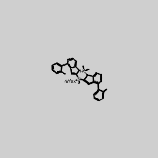 CCCCCC[Si]1(C)C2=Cc3c(-c4ccccc4C)cccc3[CH]2[Hf]([CH3])([CH3])[CH]2C1=Cc1c(-c3ccccc3C)cccc12